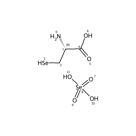 N[C@@H](C[SeH])C(=O)O.O=[Se](=O)(O)O